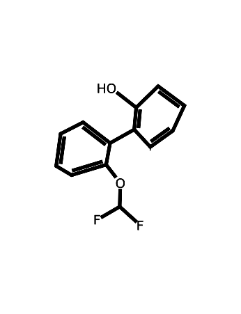 Oc1ccc[c]c1-c1ccccc1OC(F)F